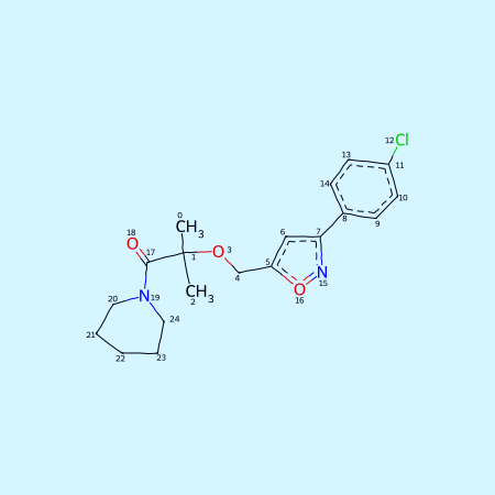 CC(C)(OCc1cc(-c2ccc(Cl)cc2)no1)C(=O)N1CCCCC1